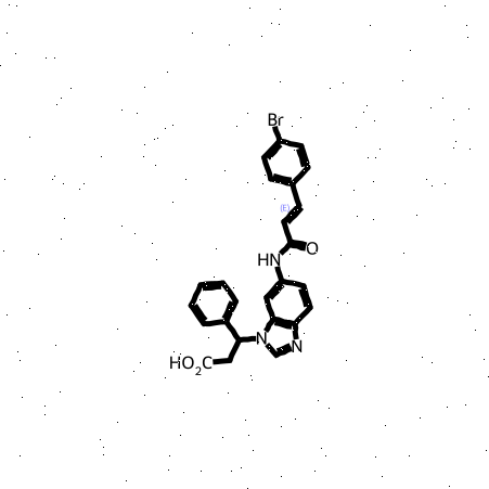 O=C(O)CC(c1ccccc1)n1cnc2ccc(NC(=O)/C=C/c3ccc(Br)cc3)cc21